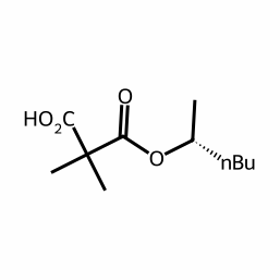 CCCC[C@@H](C)OC(=O)C(C)(C)C(=O)O